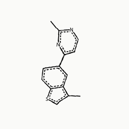 Cc1nccc(-c2ccc3scc(C)c3c2)n1